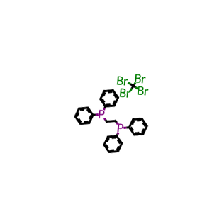 BrC(Br)(Br)Br.c1ccc(P(CCP(c2ccccc2)c2ccccc2)c2ccccc2)cc1